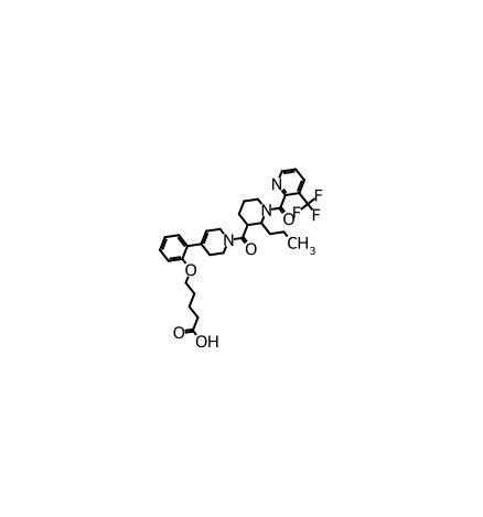 CCCC1C(C(=O)N2CC=C(c3ccccc3OCCCCC(=O)O)CC2)CCCN1C(=O)c1ncccc1C(F)(F)F